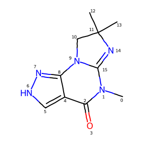 CN1C(=O)c2c[nH]nc2N2CC(C)(C)N=C12